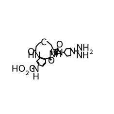 N=C(N)N1CCC(NC(=O)C2CCCCCC(=O)Nc3cc(NC(=O)O)ccc3C(=O)N2)CC1